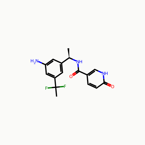 C[C@@H](NC(=O)c1ccc(=O)[nH]c1)c1cc(N)cc(C(C)(F)F)c1